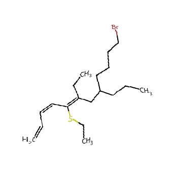 C=C/C=C\C(SCC)=C(/CC)CC(CCC)CCCCBr